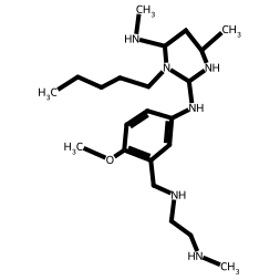 CCCCCN1C(NC)CC(C)NC1Nc1ccc(OC)c(CNCCNC)c1